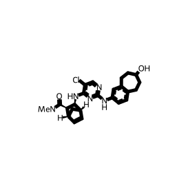 CNC(=O)[C@H]1[C@@H](Nc2nc(Nc3ccc4c(c3)CCC(O)CC4)ncc2Cl)[C@@H]2C=C[C@H]1C2